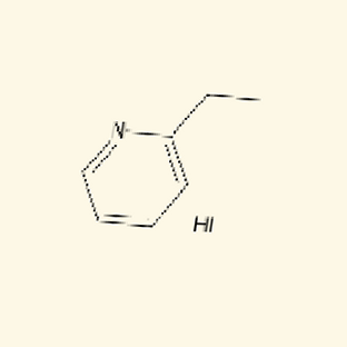 CCc1ccccn1.I